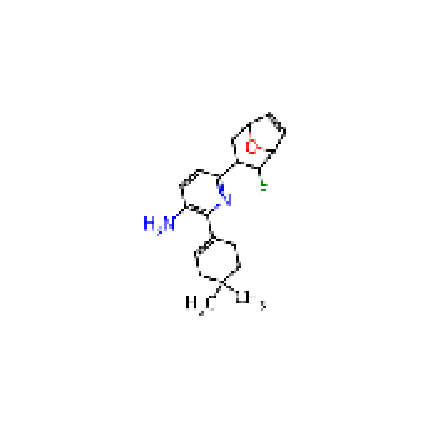 CC1(C)CC=C(c2nc(C3CC4C=CC(O4)C3F)ccc2N)CC1